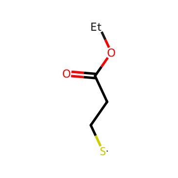 CCOC(=O)CC[S]